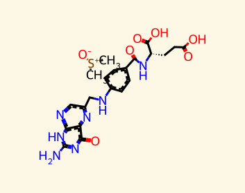 C[S+](C)[O-].Nc1nc(=O)c2nc(CNc3ccc(C(=O)N[C@@H](CCC(=O)O)C(=O)O)cc3)cnc2[nH]1